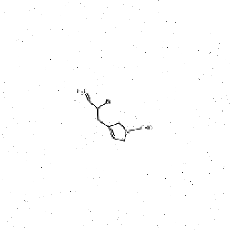 C=CC(Br)CC1=CCN(C=O)C1